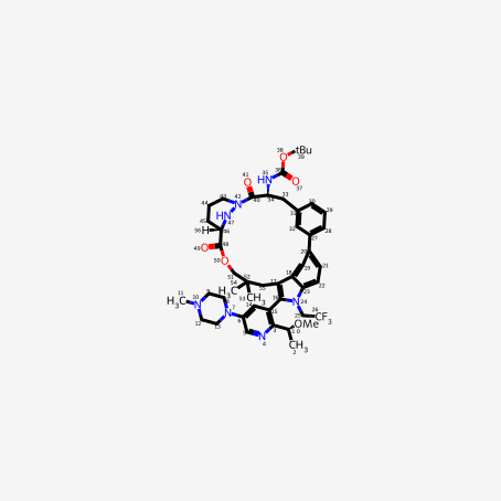 CO[C@@H](C)c1ncc(N2CCN(C)CC2)cc1-c1c2c3cc(ccc3n1CC(F)(F)F)-c1cccc(c1)C[C@H](NC(=O)OC(C)(C)C)C(=O)N1CCC[C@H](N1)C(=O)OCC(C)(C)C2